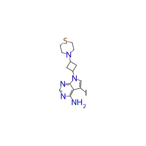 Nc1ncnc2c1c(I)cn2C1CC(N2CCSCC2)C1